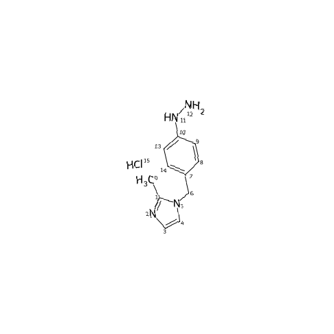 Cc1nccn1Cc1ccc(NN)cc1.Cl